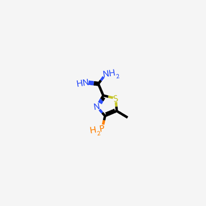 Cc1sc(C(=N)N)nc1P